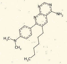 CCCCCCc1cc2c(N)ncnc2nc1-c1ccc(N(C)C)cc1